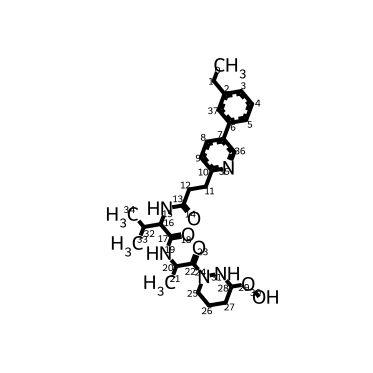 CCc1cccc(-c2ccc(CCC(=O)NC(C(=O)NC(C)C(=O)N3CCCC(OO)N3)C(C)C)nc2)c1